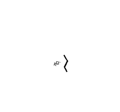 CCCC.[Cl-].[K+]